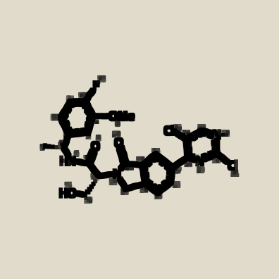 COc1cc([C@@H](C)NC(=O)[C@@H](CO)N2Cc3ccc(-c4nc(Cl)ncc4Cl)cc3C2=O)ccc1F